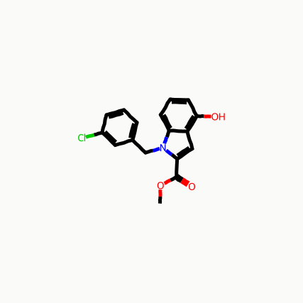 COC(=O)c1cc2c(O)cccc2n1Cc1cccc(Cl)c1